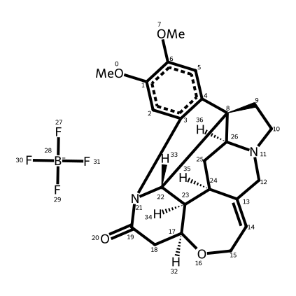 COc1cc2c(cc1OC)[C@@]13CCN4CC5=CCO[C@H]6CC(=O)N2[C@H]1[C@H]6[C@H]5C[C@H]43.F[B-](F)(F)F